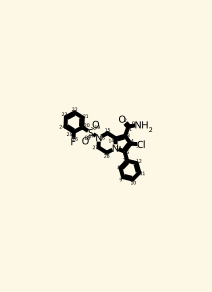 NC(=O)c1c(Cl)c(-c2ccccc2)n2c1CN(S(=O)(=O)c1ccccc1F)CC2